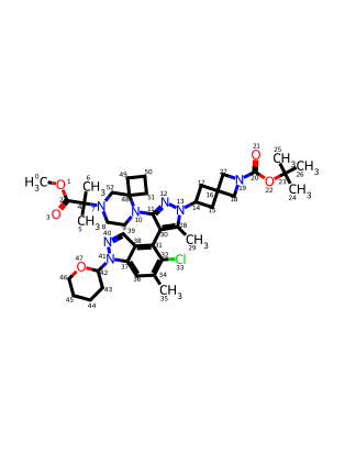 COC(=O)C(C)(C)N1CCN(c2nn(C3CC4(C3)CN(C(=O)OC(C)(C)C)C4)c(C)c2-c2c(Cl)c(C)cc3c2cnn3C2CCCCO2)C2(CCC2)C1